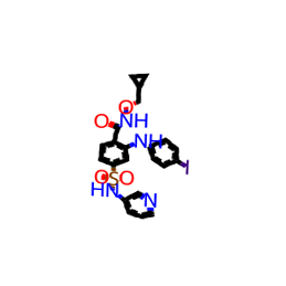 O=C(NOCC1CC1)c1ccc(S(=O)(=O)Nc2cccnc2)cc1Nc1ccc(I)cc1